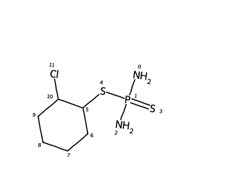 NP(N)(=S)SC1CCCCC1Cl